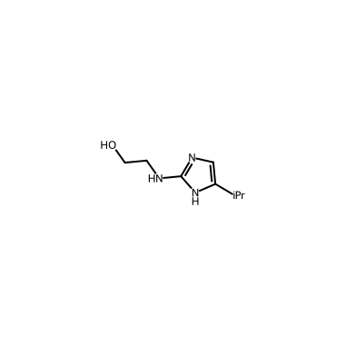 CC(C)c1cnc(NCCO)[nH]1